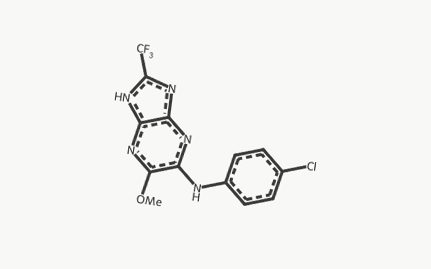 COc1nc2[nH]c(C(F)(F)F)nc2nc1Nc1ccc(Cl)cc1